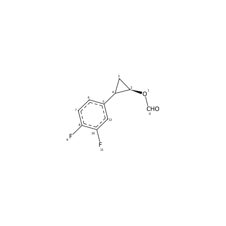 O=CO[C@@H]1CC1c1ccc(F)c(F)c1